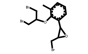 Cc1cccc(C2OC2CBr)c1OC(CBr)CBr